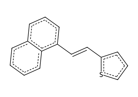 C(=Cc1cccc2ccccc12)c1cccs1